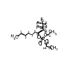 CCCCCCC(OP(=O)(OCC)OCC)=C(F)C(F)(F)C(F)(F)F